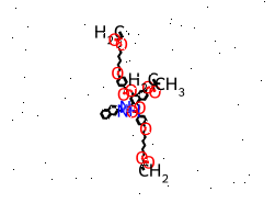 C=CC(=O)OCCCCCCOc1ccc(C(=O)Oc2cc(/C=N/Nc3ccc4ccccc4c3)c(OC(=O)c3ccc(OCCCCCCOC(=O)C=C)cc3)c3ccc(OC(=O)C(=C)C)cc23)cc1